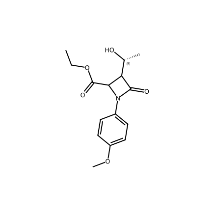 CCOC(=O)C1C([C@@H](C)O)C(=O)N1c1ccc(OC)cc1